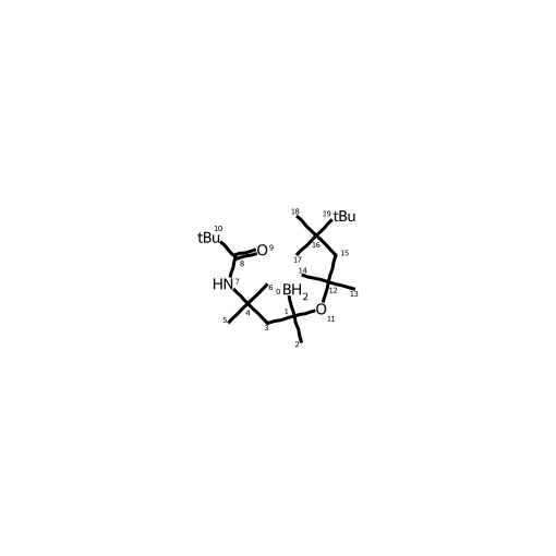 BC(C)(CC(C)(C)NC(=O)C(C)(C)C)OC(C)(C)CC(C)(C)C(C)(C)C